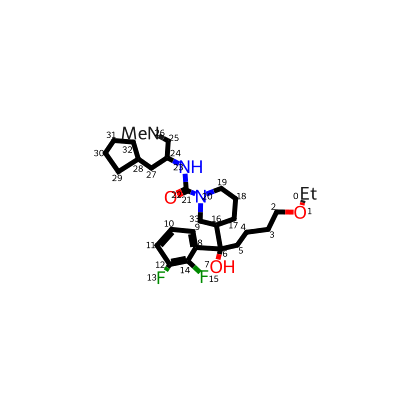 CCOCCCCC(O)(c1cccc(F)c1F)C1CCCN(C(=O)NC(CNC)CC2CCCC2)C1